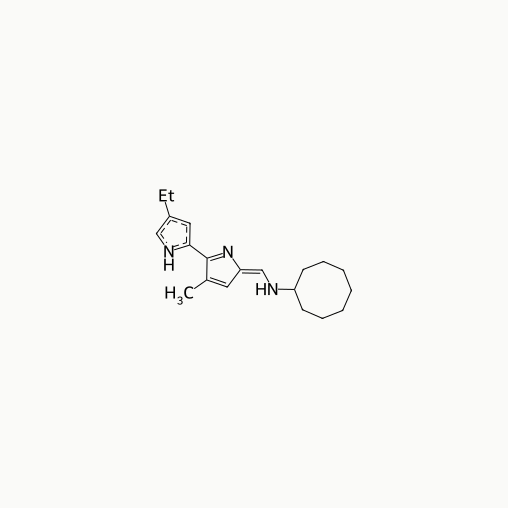 CCc1c[nH]c(C2=NC(=CNC3CCCCCCC3)C=C2C)c1